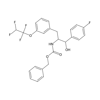 O=C(NC(Cc1cccc(OC(F)(F)C(F)F)c1)C(O)c1ccc(F)cc1)OCc1ccccc1